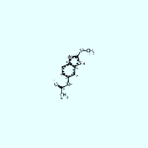 CSc1nc2ccc(NC(C)=O)cc2s1